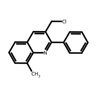 Cc1cccc2cc(CCl)c(-c3ccccc3)nc12